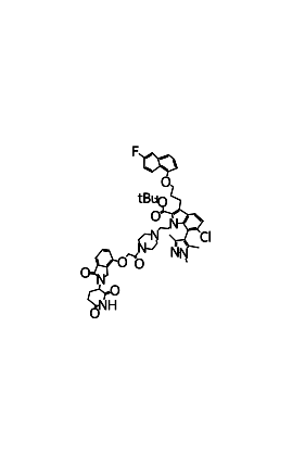 Cc1nn(C)c(C)c1-c1c(Cl)ccc2c(CCCOc3cccc4cc(F)ccc34)c(C(=O)OC(C)(C)C)n(CCN3CCN(C(=O)COc4cccc5c4CN(C4CCC(=O)NC4=O)C5=O)CC3)c12